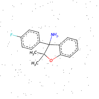 CC1(C)Oc2ccccc2C1(N)c1ccc(F)cc1